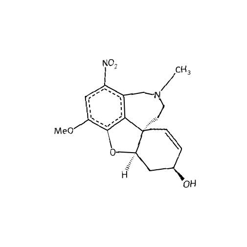 COc1cc([N+](=O)[O-])c2c3c1O[C@@H]1C[C@H](O)C=C[C@]31CCN(C)C2